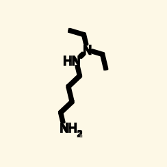 CCN(CC)NCCCCN